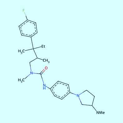 CCC(C)(c1ccc(F)cc1)C(C)CN(C)C(=O)Nc1ccc(N2CCC(NC)C2)cc1